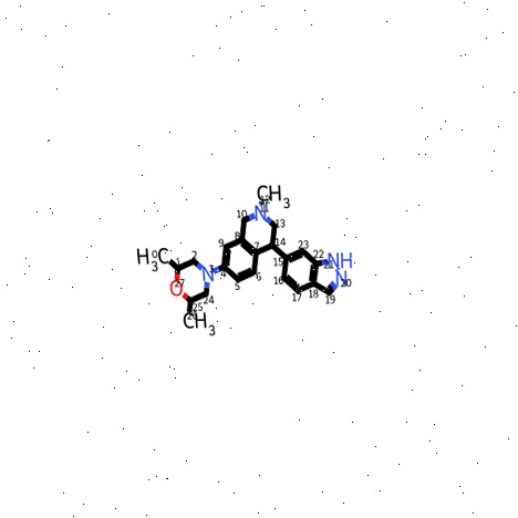 CC1CN(c2ccc3c(c2)CN(C)CC3c2ccc3cn[nH]c3c2)CC(C)O1